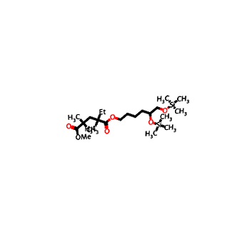 CCC(C)(CC(C)(C)C(=O)OC)C(=O)OCCCCC(CO[Si](C)(C)C)O[Si](C)(C)C